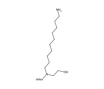 CCCCCCN(CCO)CCCCCCCCCCN